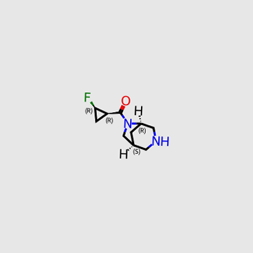 O=C([C@H]1C[C@H]1F)N1C[C@@H]2CNC[C@H]1C2